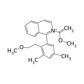 C=C(OC)[n+]1ccc2ccccc2c1-c1cc(C)cc(C)c1CCOC